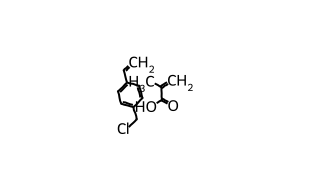 C=C(C)C(=O)O.C=Cc1ccc(CCl)cc1